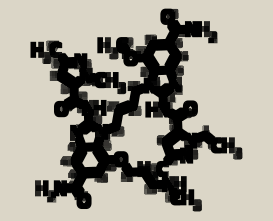 CCn1nc(C)cc1C(=O)Nc1nc2cc(C(N)=O)cc(OC)c2n1C/C=C/Cn1c(NC(=O)c2cc(C)nn2C)nc2cc(C(N)=O)cc(OCCCNC)c21